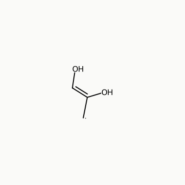 [CH2]/C(O)=C/O